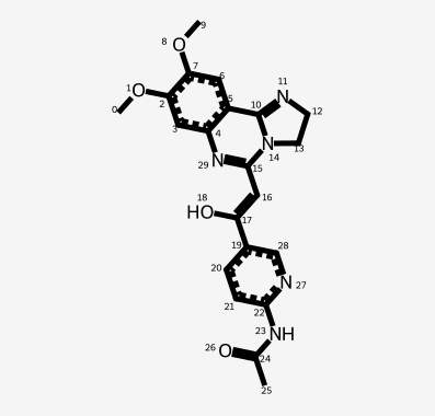 COc1cc2c(cc1OC)C1=NCCN1C(/C=C(\O)c1ccc(NC(C)=O)nc1)=N2